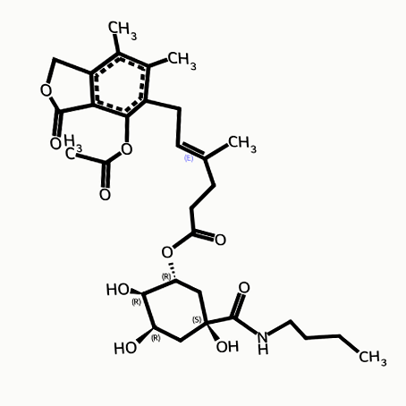 CCCCNC(=O)[C@]1(O)C[C@@H](O)[C@@H](O)[C@H](OC(=O)CC/C(C)=C/Cc2c(C)c(C)c3c(c2OC(C)=O)C(=O)OC3)C1